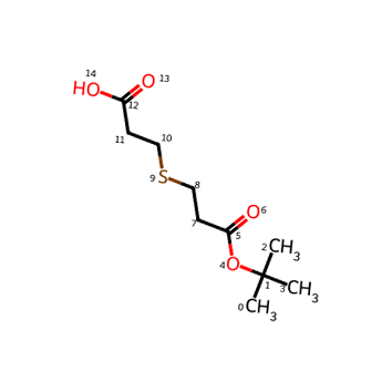 CC(C)(C)OC(=O)CCSCCC(=O)O